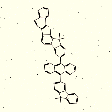 CC1(C)c2ccccc2-c2cc(-c3c4ccccc4c(-c4ccc5c(c4)-c4ccc6c(oc7c8ccccc8ccc67)c4C5(C)C)c4ccccc34)ccc21